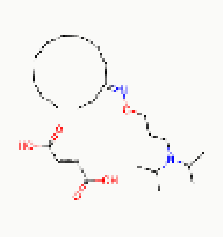 CC(C)N(CCCON=C1CCCCCCCCCCC1)C(C)C.O=C(O)C=CC(=O)O